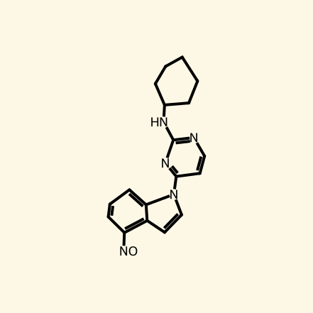 O=Nc1cccc2c1ccn2-c1ccnc(NC2CCCCC2)n1